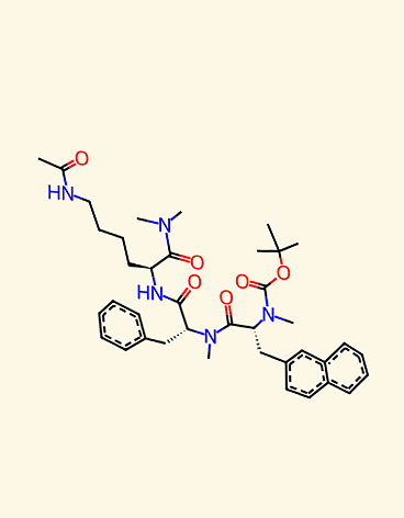 CC(=O)NCCCC[C@H](NC(=O)[C@@H](Cc1ccccc1)N(C)C(=O)[C@@H](Cc1ccc2ccccc2c1)N(C)C(=O)OC(C)(C)C)C(=O)N(C)C